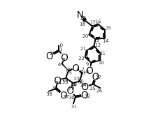 CC(=O)OC[C@H]1O[C@H](Oc2ccc(-c3cccc(C#N)c3)cc2)[C@H](OC(C)=O)[C@@H](OC(C)=O)[C@H]1OC(C)=O